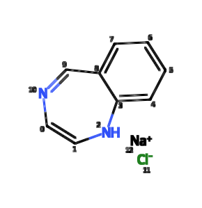 C1=CNc2ccccc2C=N1.[Cl-].[Na+]